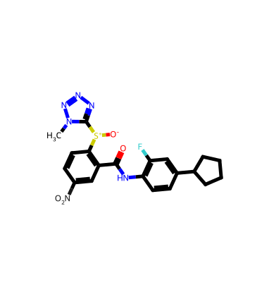 Cn1nnnc1[S+]([O-])c1ccc([N+](=O)[O-])cc1C(=O)Nc1ccc(C2CCCC2)cc1F